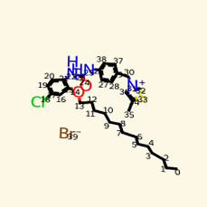 CCCCCCCCCCCCCCOc1cc(Cl)ccc1NC(=O)Nc1ccc(C[n+]2csc(C)c2)cc1.[Br-]